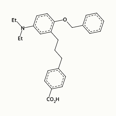 CCN(CC)c1ccc(OCc2ccccc2)c(CCCc2ccc(C(=O)O)cc2)c1